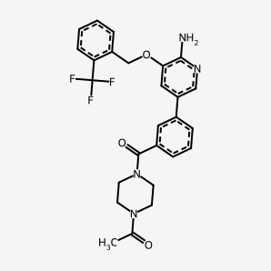 CC(=O)N1CCN(C(=O)c2cccc(-c3cnc(N)c(OCc4ccccc4C(F)(F)F)c3)c2)CC1